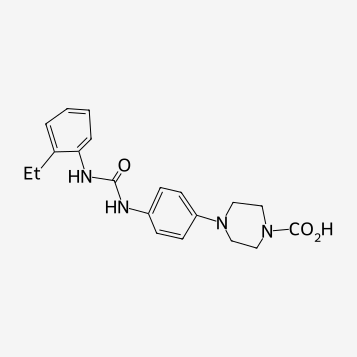 CCc1ccccc1NC(=O)Nc1ccc(N2CCN(C(=O)O)CC2)cc1